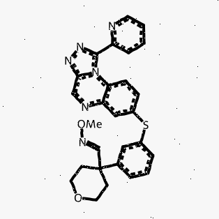 CON=CC1(c2cccc(Sc3ccc4c(c3)ncc3nnc(-c5ccccn5)n34)c2)CCOCC1